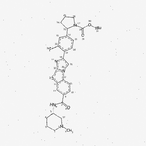 CN1CCC[C@H](NC(=O)c2ccc3c(c2)sc2nc(-c4ccc(C5CCCN5C(=O)OC(C)(C)C)cc4F)cn23)C1